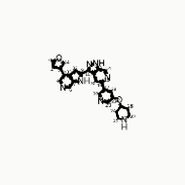 c1cc(-c2cncc3[nH]c(-c4n[nH]c5cnc(-c6cncc(OC7CCNCC7)c6)cc45)cc23)co1